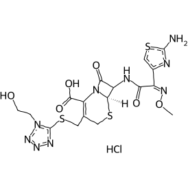 CO/N=C(\C(=O)NC1C(=O)N2C(C(=O)O)=C(CSc3nnnn3CCO)CS[C@H]12)c1csc(N)n1.Cl